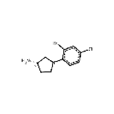 N[C@H]1CCN(c2ccc(Cl)cc2Br)C1